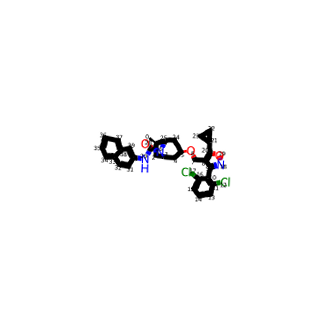 C[C@@H]1CC2C[C@H](OCc3c(-c4c(Cl)cccc4Cl)noc3C3CC3)CC1N2C(=O)Nc1ccc2ccccc2c1